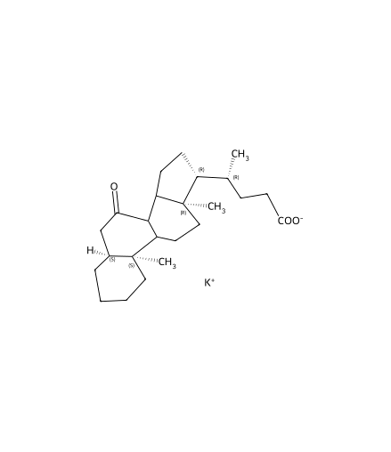 C[C@H](CCC(=O)[O-])[C@H]1CCC2C3C(=O)C[C@@H]4CCCC[C@]4(C)C3CC[C@@]21C.[K+]